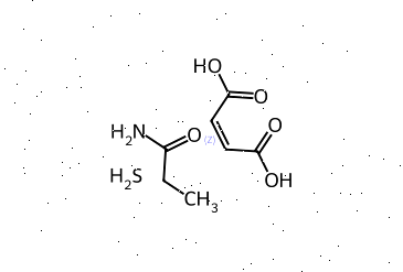 CCC(N)=O.O=C(O)/C=C\C(=O)O.S